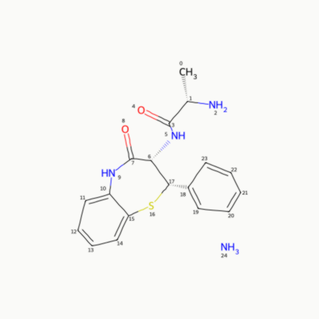 C[C@H](N)C(=O)N[C@H]1C(=O)Nc2ccccc2S[C@H]1c1ccccc1.N